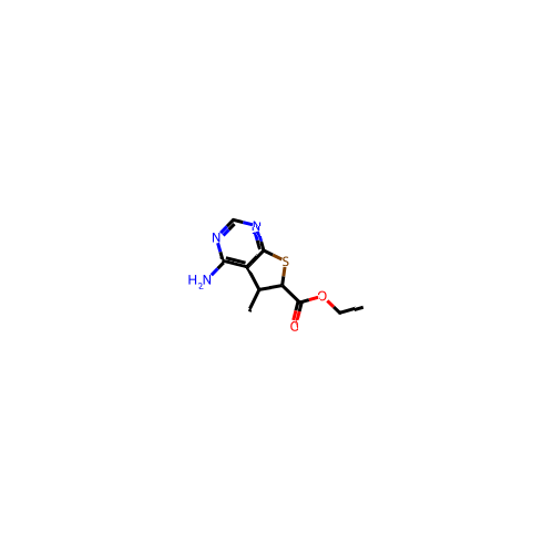 CCOC(=O)C1Sc2ncnc(N)c2C1C